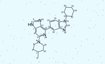 CC1CCN(c2cc3[nH]cnc3c(-c3ccc4c(c3)ncn4C3CCCCC3)n2)CC1